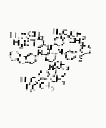 CC(C)(C)c1ccc2c(c1)N(c1ccc3c(c1)-c1ccccc1C3)c1cc(N3c4ccc(C(C)(C)C)cc4C4(C)CCCCC34C)cc3c1B2c1ccc(C(C)(C)C)cc1N3c1ccc2sc3ccccc3c2c1